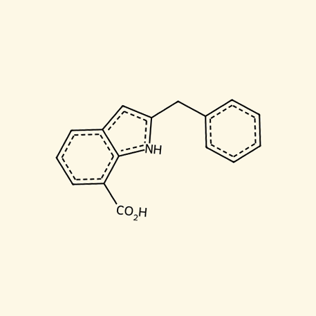 O=C(O)c1cccc2cc(Cc3ccccc3)[nH]c12